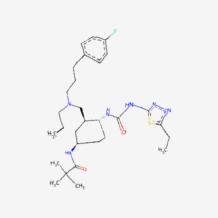 CCCN(CCCc1ccc(F)cc1)C[C@@H]1C[C@H](NC(=O)C(C)(C)C)CC[C@H]1NC(=O)Nc1nnc(CC)s1